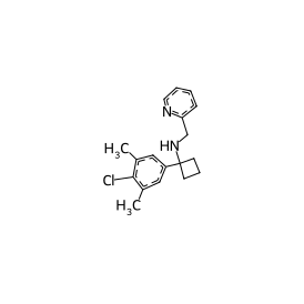 Cc1cc(C2(NCc3ccccn3)CCC2)cc(C)c1Cl